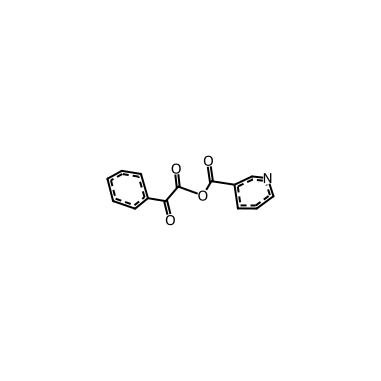 O=C(OC(=O)c1cccnc1)C(=O)c1ccccc1